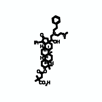 CC(C)C1=C2[C@H]3CC[C@@H]4[C@@]5(C)CC[C@H](OC(=O)CC(C)(C)C(=O)O)C(C)(C)[C@@H]5CC[C@@]4(C)[C@]3(C)CCC2(C(O)CN(CCc2ccccc2)CCN(C)C)CC1=O